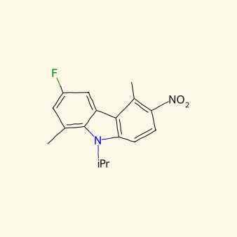 Cc1c([N+](=O)[O-])ccc2c1c1cc(F)cc(C)c1n2C(C)C